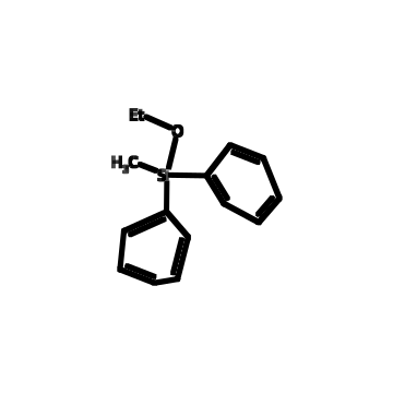 CCO[Si](C)(c1ccccc1)c1ccccc1